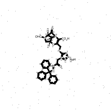 O=CN1C[C@H]2OC(CSc3nnnn3CC(=O)NOC(c3ccccc3)(c3ccccc3)c3ccccc3)=C(C(=O)O)N3C(=O)[C@@H]1[C@@H]23.[NaH]